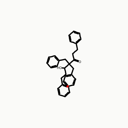 O=C(CCc1ccccc1)C(Cc1ccccc1)(Cc1ccccc1)C(O)CCc1ccccc1